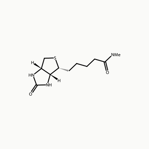 CNC(=O)CCCC[C@H]1SC[C@H]2NC(=O)N[C@H]21